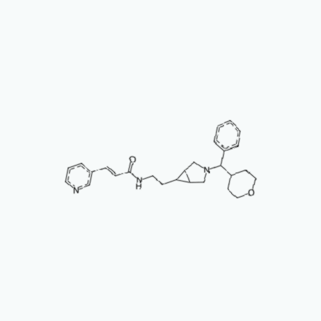 O=C(/C=C/c1cccnc1)NCCC1C2CN(C(c3ccccc3)C3CCOCC3)CC12